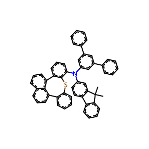 CC1(C)c2ccccc2-c2ccc(N(c3cc(-c4ccccc4)cc(-c4ccccc4)c3)c3cccc4c3Sc3ccccc3-c3cccc5cccc-4c35)cc21